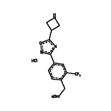 CCCCCCCCCCCc1ccc(-c2noc(C3CNC3)n2)cc1C(F)(F)F.Cl